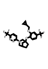 FC(F)(F)c1ccc(OC23CCC(CN(c4ccc(C(F)(F)F)nn4)C2)C3)c(OCC2CC2)c1